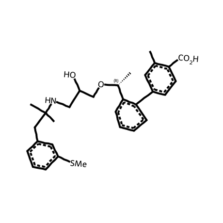 CSc1cccc(CC(C)(C)NCC(O)CO[C@H](C)c2ccccc2-c2ccc(C(=O)O)c(C)c2)c1